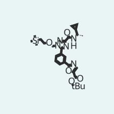 C[C@H](NC(=O)c1nc(-c2cccc(-c3ncc(C(=O)OC(C)(C)C)o3)c2)n(COCC[Si](C)(C)C)n1)C1CC1